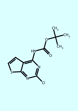 CC(C)(C)OC(=O)Nc1nc(Cl)nc2sccc12